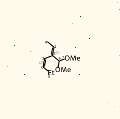 C/C=C(\C=C/CC)C(OC)OC